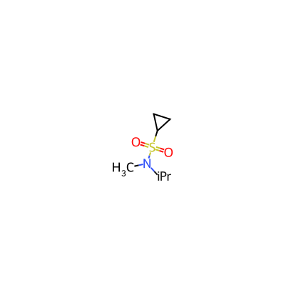 CC(C)N(C)S(=O)(=O)C1CC1